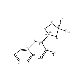 O=C(O)N(Cc1ccccc1)[C@H]1CCC(F)(F)C1